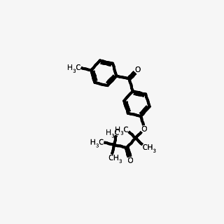 Cc1ccc(C(=O)c2ccc(OC(C)(C)C(=O)C(C)(C)C)cc2)cc1